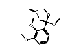 COOC(OC)(OC)c1cccc(OC)c1OC